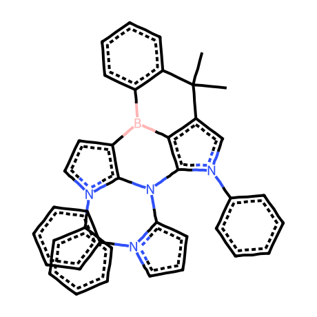 CC1(C)c2ccccc2B2c3ccn(-c4ccccc4)c3N(c3cccn3-c3ccccc3)c3c2c1cn3-c1ccccc1